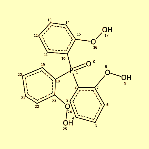 O=P(c1ccccc1OO)(c1ccccc1OO)c1ccccc1OO